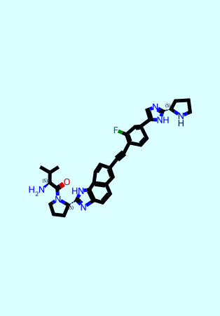 CC(C)[C@H](N)C(=O)N1CCC[C@H]1c1nc2ccc3cc(C#Cc4ccc(-c5cnc([C@@H]6CCCN6)[nH]5)cc4F)ccc3c2[nH]1